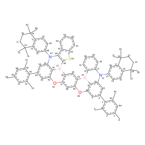 Cc1cc(C)c(-c2cc3c4c(c2)N(c2ccc5c(c2)C(C)(C)CCC5(C)C)c2ccccc2B4c2cc4c(cc2O3)Oc2cc(-c3c(C)cc(C)cc3C)cc3c2B4c2sc4ccccc4c2N3c2ccc3c(c2)C(C)(C)CCC3(C)C)c(C)c1